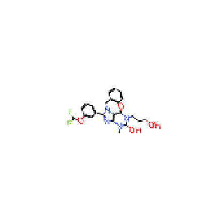 CN1c2nc(-c3cccc(OC(F)F)c3)n(Cc3ccccc3)c2C(=O)N(CCCO)C1O